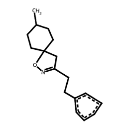 CC1CCC2(CC1)CC(CCc1ccccc1)=NO2